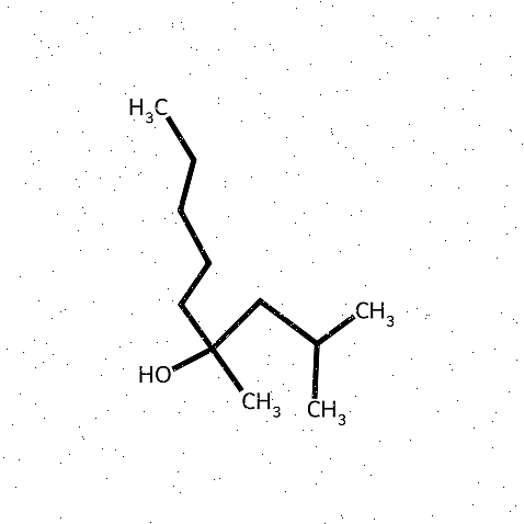 CCCCCC(C)(O)CC(C)C